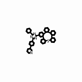 c1ccc(-c2nc(-c3ccc(-c4cccnc4)cc3)nc(-c3ccc4c(c3)-c3ccccc3Sc3ccccc3-c3ccccc3-c3ccccc3-4)n2)cc1